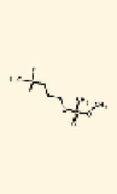 COP(C)(=O)OCCCS(C)(F)F